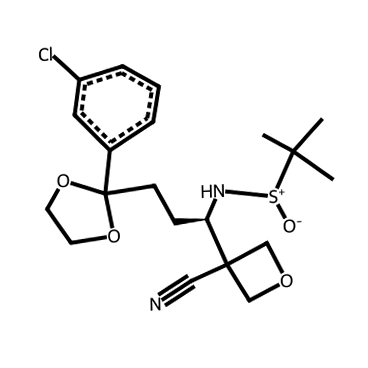 CC(C)(C)[S+]([O-])N[C@H](CCC1(c2cccc(Cl)c2)OCCO1)C1(C#N)COC1